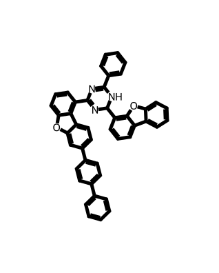 c1ccc(C2=NC(c3cccc4oc5cc(-c6ccc(-c7ccccc7)cc6)ccc5c34)=NC(c3cccc4c3oc3ccccc34)N2)cc1